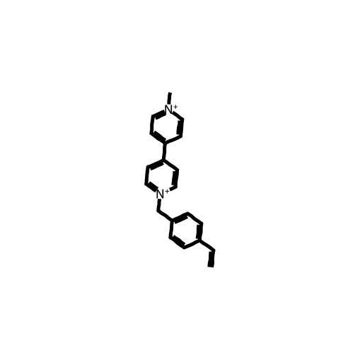 C=Cc1ccc(C[n+]2ccc(-c3cc[n+](C)cc3)cc2)cc1